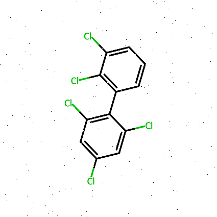 Clc1cc(Cl)c(-c2[c]ccc(Cl)c2Cl)c(Cl)c1